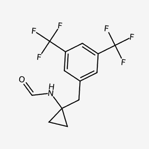 O=CNC1(Cc2cc(C(F)(F)F)cc(C(F)(F)F)c2)CC1